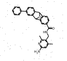 Cc1cc(N)nc(C)c1CNC(=O)c1ccc2c(c1)C1OC2c2ccc(-c3ccccc3)cc21